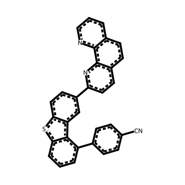 N#Cc1ccc(-c2cccc3sc4ccc(-c5ccc6ccc7cccnc7c6n5)cc4c23)cc1